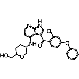 O=C(c1ccc(Oc2ccccc2)cc1Cl)c1c[nH]c2nccc(N[C@@H]3CCC(CO)OC3)c12